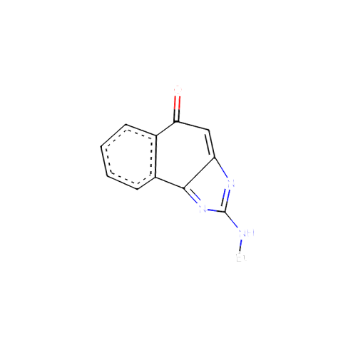 CCNC1=NC2=CC(=O)c3ccccc3C2=N1